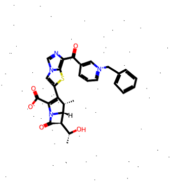 C[C@@H](O)[C@H]1C(=O)N2C(C(=O)[O-])=C(c3cn4cnc(C(=O)c5ccc[n+](Cc6ccccc6)c5)c4s3)[C@H](C)[C@H]12